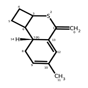 C=C1SC2CCC2[C@H]2CC=C(C)C=C12